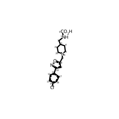 O=C(O)NCC1CCN(Cc2cc(-c3ccc(Cl)cc3)no2)CC1